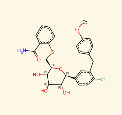 CCOc1ccc(Cc2cc([C@@H]3O[C@H](CSc4ccccc4C(N)=O)[C@@H](O)[C@H](O)[C@H]3O)ccc2Cl)cc1